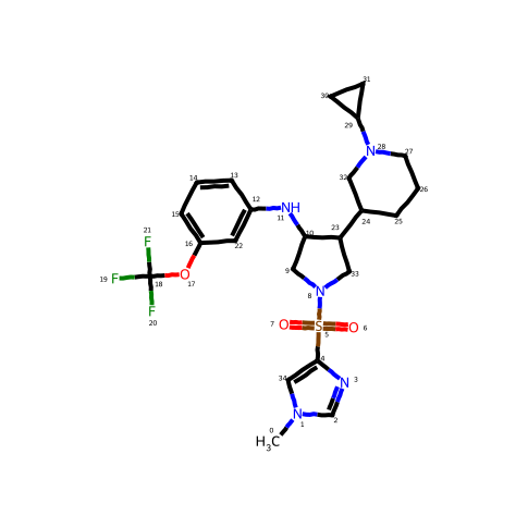 Cn1cnc(S(=O)(=O)N2CC(Nc3cccc(OC(F)(F)F)c3)C(C3CCCN(C4CC4)C3)C2)c1